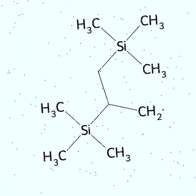 [CH2]C(C[Si](C)(C)C)[Si](C)(C)C